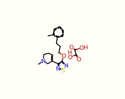 Cc1ccccc1CCCOc1nsnc1C1=CCCN(C)C1.O=C(O)C(=O)O